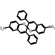 O=[N+]([O-])c1ccc2c(c1)C=C(c1ccccc1)C1(O2)Oc2ccc([N+](=O)[O-])cc2C=C1c1ccccc1